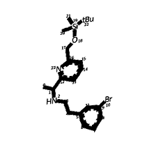 CC(NCCc1cccc(Br)c1)c1cccc(CO[Si](C)(C)C(C)(C)C)n1